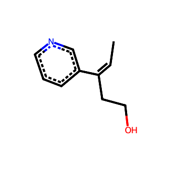 C/C=C(/CCO)c1cccnc1